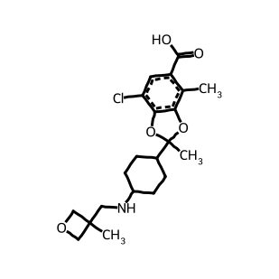 Cc1c(C(=O)O)cc(Cl)c2c1OC(C)(C1CCC(NCC3(C)COC3)CC1)O2